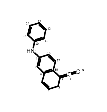 O=C=C1CC=Cc2cc(Nc3ccccc3)ccc21